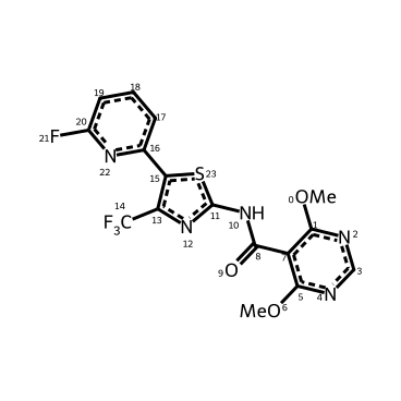 COc1ncnc(OC)c1C(=O)Nc1nc(C(F)(F)F)c(-c2cccc(F)n2)s1